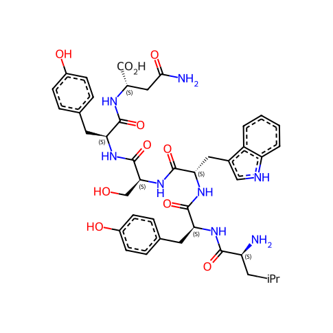 CC(C)C[C@H](N)C(=O)N[C@@H](Cc1ccc(O)cc1)C(=O)N[C@@H](Cc1c[nH]c2ccccc12)C(=O)N[C@@H](CO)C(=O)N[C@@H](Cc1ccc(O)cc1)C(=O)N[C@@H](CC(N)=O)C(=O)O